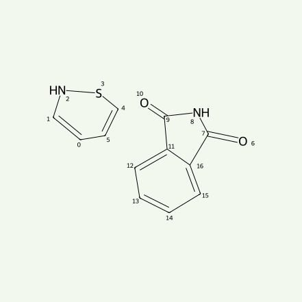 C1=CNSC=C1.O=C1NC(=O)c2ccccc21